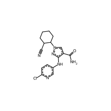 N#CC1CCCCC1n1cc(C(N)=O)c(Nc2ccc(Cl)nc2)n1